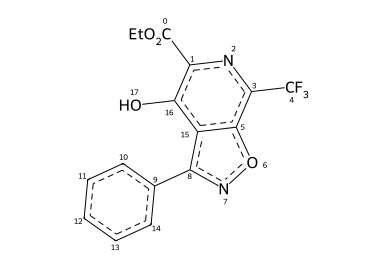 CCOC(=O)c1nc(C(F)(F)F)c2onc(-c3ccccc3)c2c1O